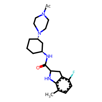 CC(=O)N1CCN([C@H]2CCC[C@H](NC(=O)C3Cc4c(F)ccc(C)c4N3)C2)CC1